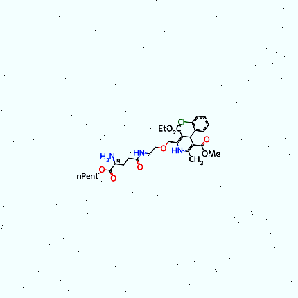 CCCCCOC(=O)[C@@H](N)CCC(=O)NCCOCC1=C(C(=O)OCC)C(c2ccccc2Cl)C(C(=O)OC)=C(C)N1